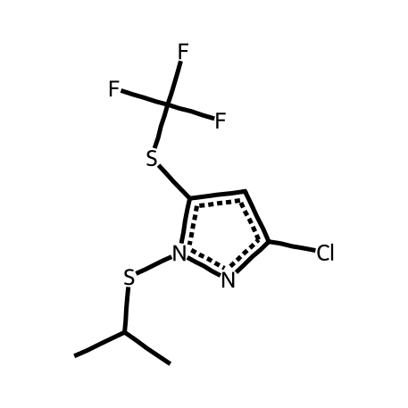 CC(C)Sn1nc(Cl)cc1SC(F)(F)F